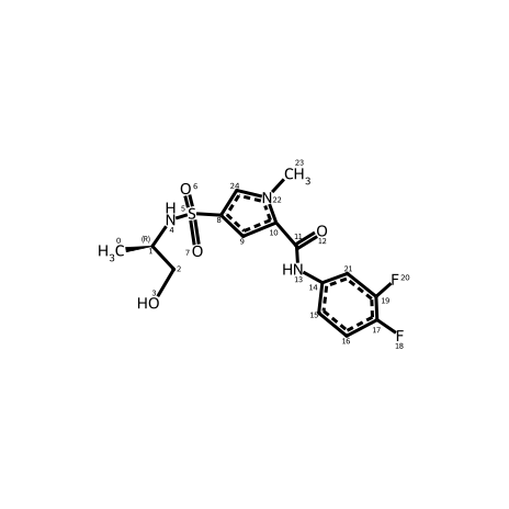 C[C@H](CO)NS(=O)(=O)c1cc(C(=O)Nc2ccc(F)c(F)c2)n(C)c1